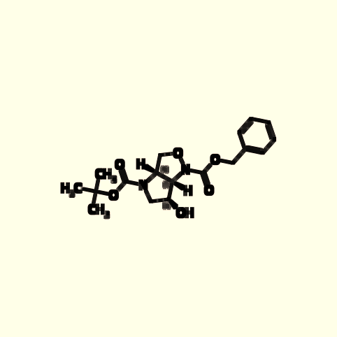 CC(C)(C)OC(=O)N1C[C@H](O)[C@@H]2[C@H]1CON2C(=O)OCc1ccccc1